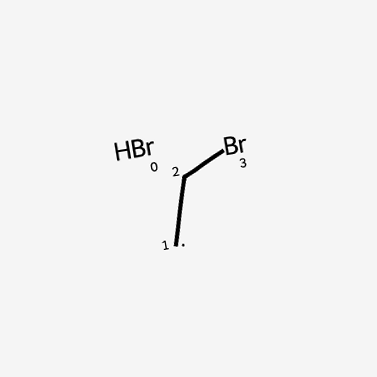 Br.[CH2]CBr